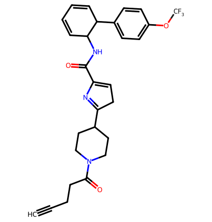 C#CCCC(=O)N1CCC(C2=NC(C(=O)NC3C=CC=CC3c3ccc(OC(F)(F)F)cc3)=CC2)CC1